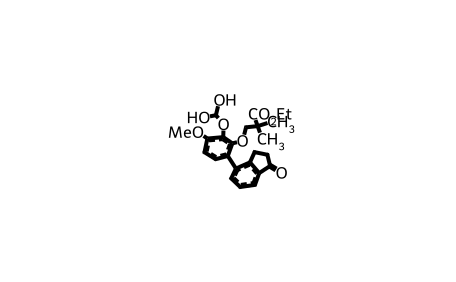 CCOC(=O)C(C)(C)COc1c(-c2cccc3c2CCC3=O)ccc(OC)c1OC(O)O